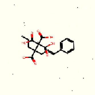 CCCC(CC=Cc1ccccc1)(C(=O)O)C(C(=O)O)(C(=O)O)C(=O)O